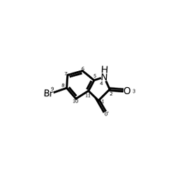 [CH]=C1C(=O)Nc2ccc(Br)cc21